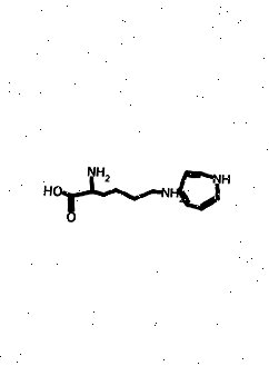 C1=CC=CNC=C1.NCCCCC(N)C(=O)O